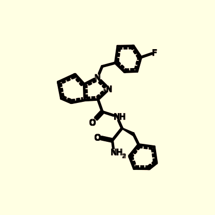 NC(=O)[C@H](Cc1ccccc1)NC(=O)c1nn(Cc2ccc(F)cc2)c2ccccc12